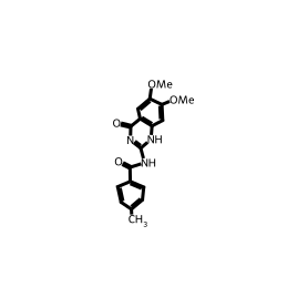 COc1cc2[nH]c(NC(=O)c3ccc(C)cc3)nc(=O)c2cc1OC